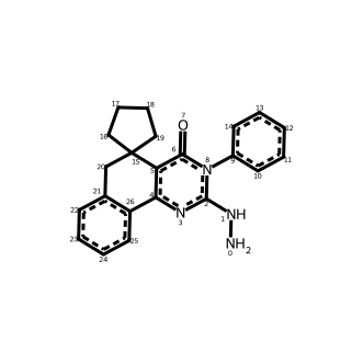 NNc1nc2c(c(=O)n1-c1ccccc1)C1(CCCC1)Cc1ccccc1-2